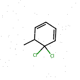 CC1C=CC=CC1(Cl)Cl